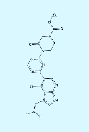 CC(C)(C)OC(=O)N1CCN(c2cccc(-c3cnc4[nH]cc(CC(F)F)c4c3Cl)n2)C(=O)C1